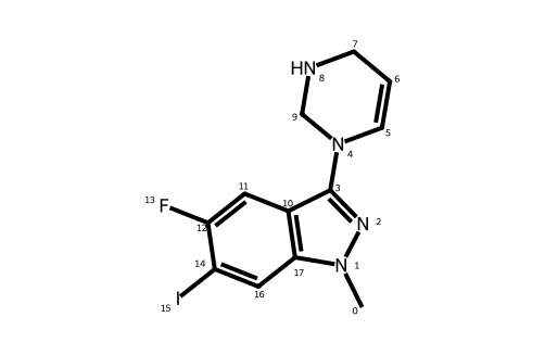 Cn1nc(N2C=CCNC2)c2cc(F)c(I)cc21